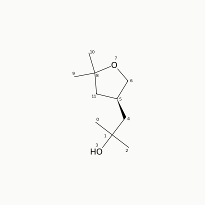 CC(C)(O)C[C@@H]1COC(C)(C)C1